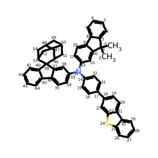 CC1(C)c2ccccc2-c2ccc(N(c3ccc(-c4ccc5c(c4)sc4ccccc45)cc3)c3ccc4c(c3)C3(c5ccccc5-4)C4CC5CC(C4)CC3C5)cc21